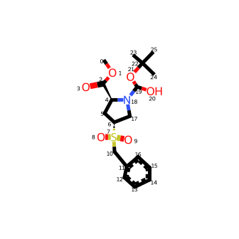 COC(=O)[C@@H]1C[C@@H](S(=O)(=O)Cc2ccccc2)CN1C(O)OC(C)(C)C